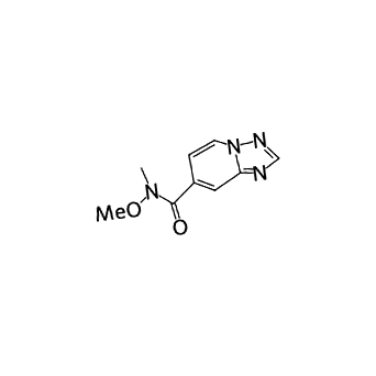 CON(C)C(=O)c1ccn2ncnc2c1